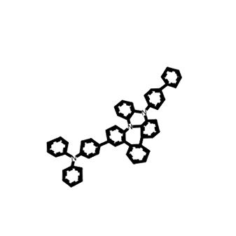 c1ccc(-c2ccc(N3c4ccccc4N4c5ccc(-c6ccc(N(c7ccccc7)c7ccccc7)cc6)cc5-c5ccccc5-c5cccc3c54)cc2)cc1